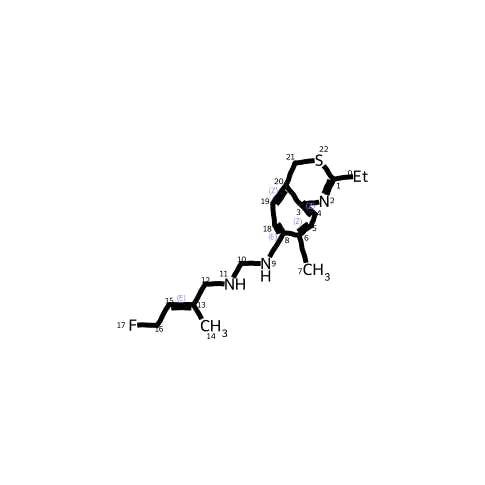 CCC1=NC2=C\C=C(C)/C(NCNC/C(C)=C/CF)=C\C=C\2CS1